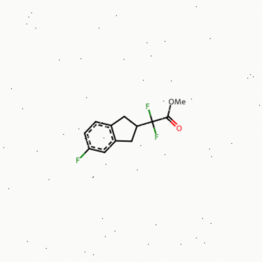 COC(=O)C(F)(F)C1Cc2ccc(F)cc2C1